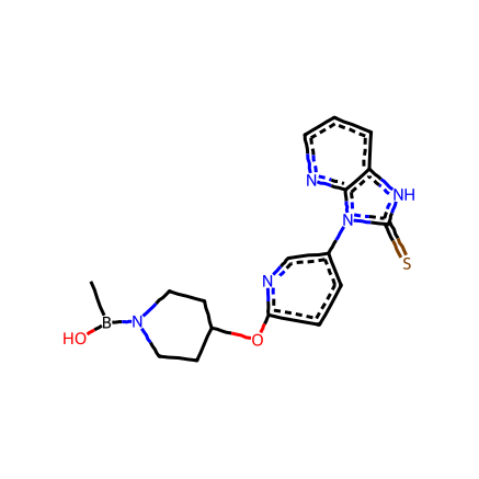 CB(O)N1CCC(Oc2ccc(-n3c(=S)[nH]c4cccnc43)cn2)CC1